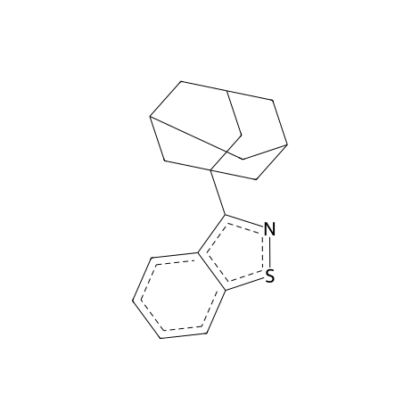 c1ccc2c(C34CC5CC(CC(C5)C3)C4)nsc2c1